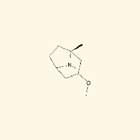 COC1CC2CC[C@](C)(C1)N2C